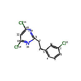 Clc1cccc(CCc2nc(Cl)cc(Cl)n2)c1